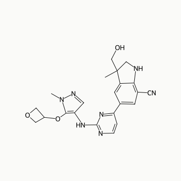 Cn1ncc(Nc2nccc(-c3cc(C#N)c4c(c3)C(C)(CO)CN4)n2)c1OC1COC1